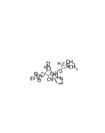 CCS(=O)(=O)N1CC(c2n[nH]cc2-c2cc3cccnc3n2COCC[Si](C)(C)C)(C(C)C#N)C1